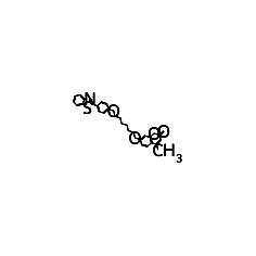 Cc1cc(=O)oc2cc(OCCCCCCOc3ccc(-c4nc5ccccc5s4)cc3)ccc12